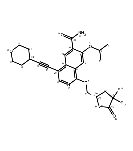 CC(C)Oc1cc2c(OC[C@@H]3CC(F)(F)C(=O)N3)ncc(C#CC3CCOCC3)c2cc1C(N)=O